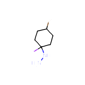 NNC1(I)CCC(Br)CC1